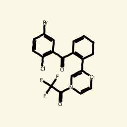 O=C(C1=C(C2=CN(C(=O)C(F)(F)F)C=CO2)CCC=C1)c1cc(Br)ccc1Cl